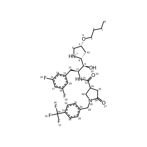 CCCCO[C@H]1CN[C@@H]([C@@H](O)[C@H](Cc2cc(F)cc(F)c2)NC(=O)C2CC(=O)N(Cc3ccc(C(F)(F)F)cc3)C2)C1